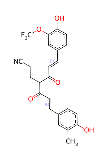 Cc1cc(/C=C/C(=O)C(CCC#N)C(=O)/C=C/c2ccc(O)c(OC(F)(F)F)c2)ccc1O